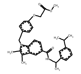 COC(=O)COc1ccc(Cn2c(C)c(C)c3cc(C(=O)NC(C)c4cccc(C(C)C)c4)ccc32)cc1